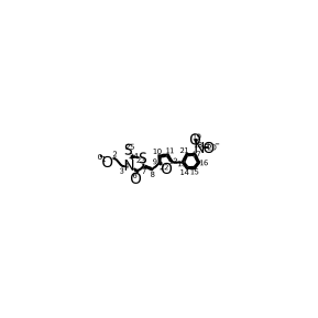 COCCN1C(=O)C(=Cc2ccc(-c3cccc([N+](=O)[O-])c3)o2)SC1=S